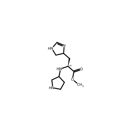 COC(=O)[C@H](CC1CNC=N1)NC1CCNC1